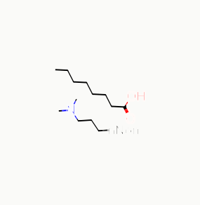 CCCCCCCC(=O)O.CCCCCCCCCCCCN(C)C